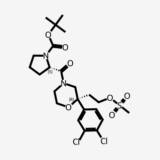 CC(C)(C)OC(=O)N1CCC[C@H]1C(=O)N1CCO[C@](CCOS(C)(=O)=O)(c2ccc(Cl)c(Cl)c2)C1